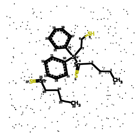 CCC[CH2][Sn](=[S])[Si](CCS)(c1ccccc1)c1ccccc1.CCC[CH2][Sn]=[S]